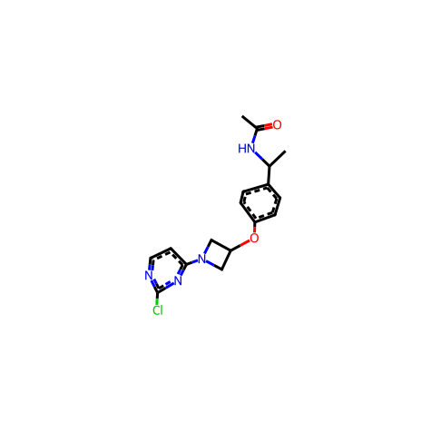 CC(=O)NC(C)c1ccc(OC2CN(c3ccnc(Cl)n3)C2)cc1